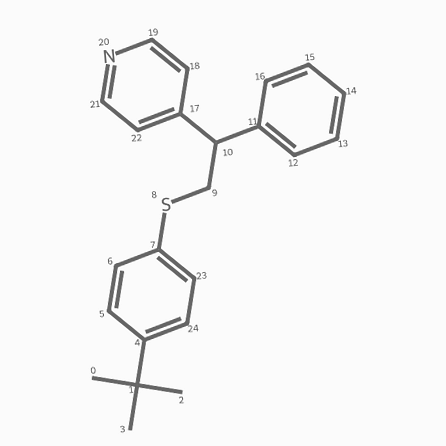 CC(C)(C)c1ccc(SCC(c2ccccc2)c2ccncc2)cc1